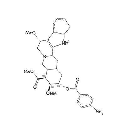 COC(=O)[C@H]1C2CN3CC(OC)C4=C(NC5CC=CC=C45)C3CC2C[C@H](OC(=O)c2ccc(N)cc2)[C@H]1OC